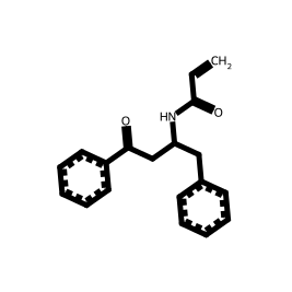 C=CC(=O)NC(CC(=O)c1ccccc1)Cc1ccccc1